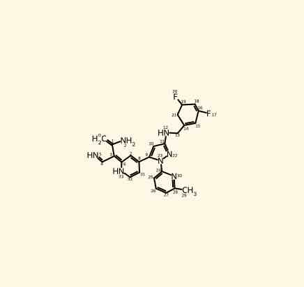 C=C(N)/C(C=N)=C1\C=C(c2cc(NCC3=CC(F)=CC(F)C3)nn2-c2cccc(C)n2)C=CN1